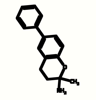 CC1(N)CCc2cc(-c3ccccc3)ccc2O1